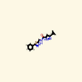 O=C(NCc1nnc(-c2ccccc2)s1)c1cc(C2CC2)n[nH]1